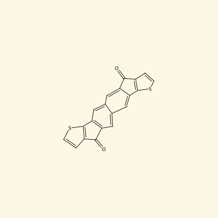 O=c1c2cc3cc4c(cc3cc2c2sccc12)c(=O)c1ccsc14